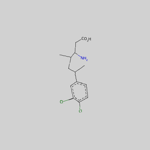 CC(CC(C)C(N)CC(=O)O)c1ccc(Cl)c(Cl)c1